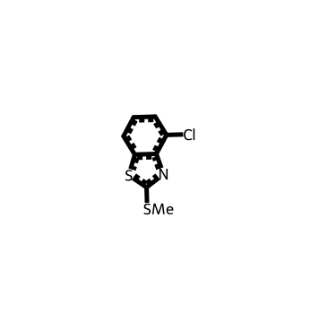 CSc1nc2c(Cl)cccc2s1